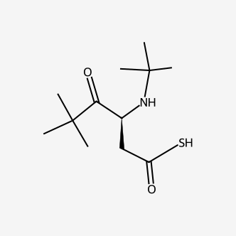 CC(C)(C)N[C@@H](CC(=O)S)C(=O)C(C)(C)C